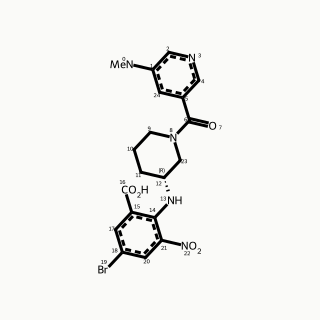 CNc1cncc(C(=O)N2CCC[C@@H](Nc3c(C(=O)O)cc(Br)cc3[N+](=O)[O-])C2)c1